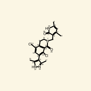 Cc1cc(C)c(CN2CCc3c(Cl)cc(-c4c(C)n[nH]c4C)c(Cl)c3C2=O)c(=O)[nH]1